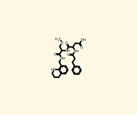 COCC(NC(=O)C(CC(=O)O)NC(=O)CCc1ccccc1)C(=O)NCc1cccc2c1NCCC2